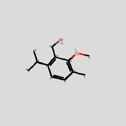 COc1c(C)ccc(C(C)C)c1CBr